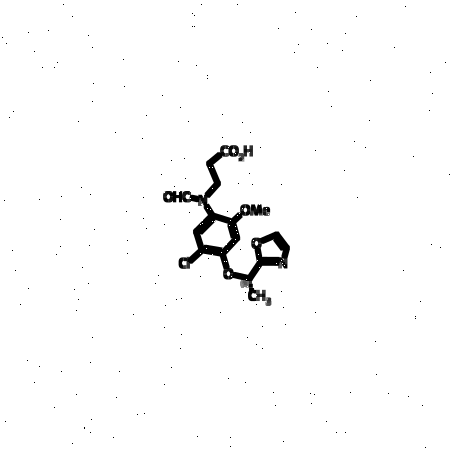 COc1cc(O[C@@H](C)c2ncco2)c(Cl)cc1N(C=O)CCC(=O)O